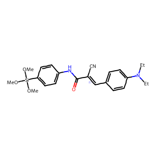 CCN(CC)c1ccc(/C=C(\C#N)C(=O)Nc2ccc([Si](OC)(OC)OC)cc2)cc1